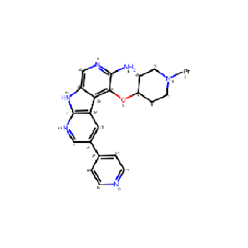 CC(C)N1CCC(Oc2c(N)ncc3[nH]c4ncc(-c5ccncc5)cc4c23)CC1